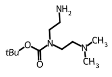 CN(C)CCN(CCN)C(=O)OC(C)(C)C